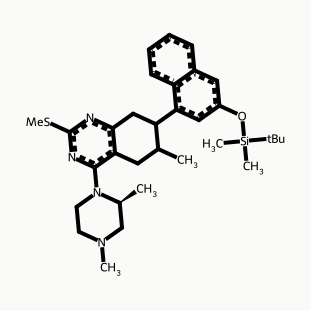 CSc1nc2c(c(N3CCN(C)C[C@@H]3C)n1)CC(C)C(c1cc(O[Si](C)(C)C(C)(C)C)cc3ccccc13)C2